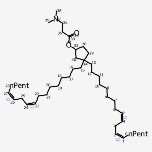 CCCCC/C=C\C/C=C\CCCCCCCCC1(CCCCCCCC/C=C\C/C=C\CCCCC)CCC(OC(=O)CCN(C)C)C1